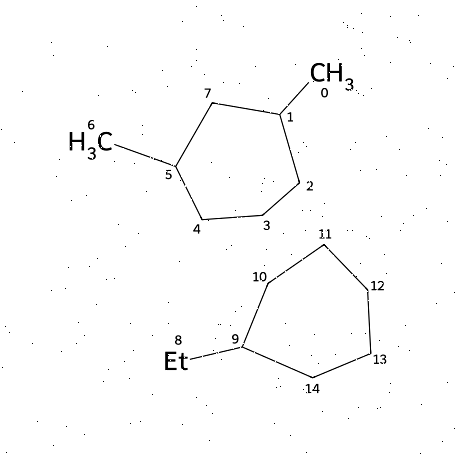 CC1CCCC(C)C1.CCC1CCCCC1